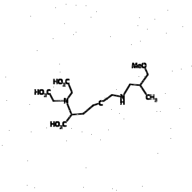 COCC(C)CNCCCCC(C(=O)O)N(CC(=O)O)CC(=O)O